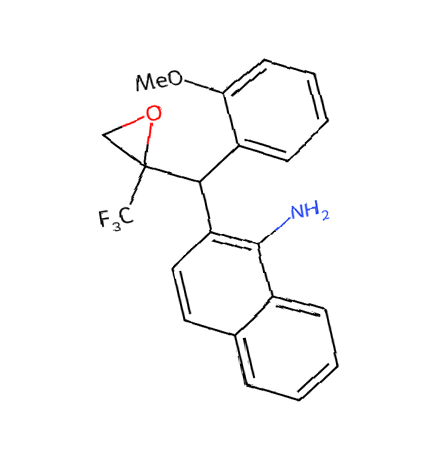 COc1ccccc1C(c1ccc2ccccc2c1N)C1(C(F)(F)F)CO1